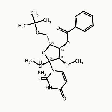 CO[C@@H]1[C@H](OC(=O)c2ccccc2)[C@@H](COC(C)(C)C)O[C@]1(n1ccc(=O)[nH]c1=O)[SiH](C)C